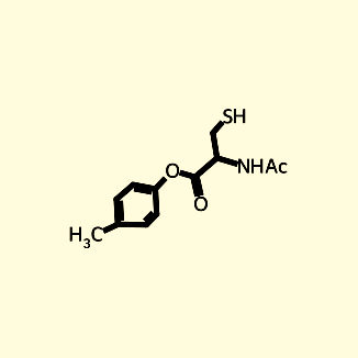 CC(=O)NC(CS)C(=O)Oc1ccc(C)cc1